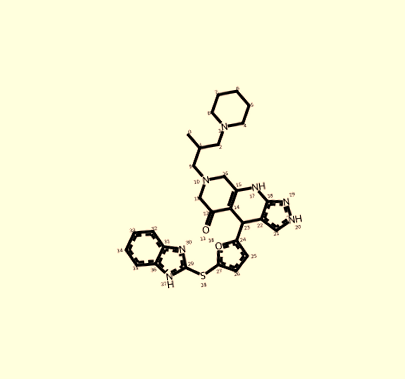 CC(CN1CCCCC1)CN1CC(=O)C2=C(C1)Nc1n[nH]cc1C2c1ccc(Sc2nc3ccccc3[nH]2)o1